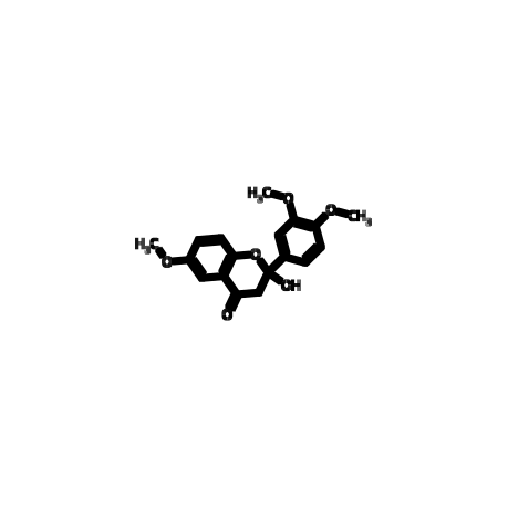 COc1ccc2c(c1)C(=O)CC(O)(c1ccc(OC)c(OC)c1)O2